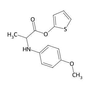 COc1ccc(NC(C)C(=O)Oc2cccs2)cc1